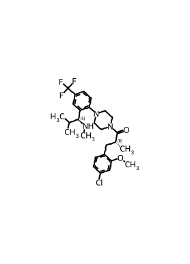 CN[C@H](c1cc(C(F)(F)F)ccc1N1CCN(C(=O)[C@H](C)Cc2ccc(Cl)cc2OC)CC1)C(C)C